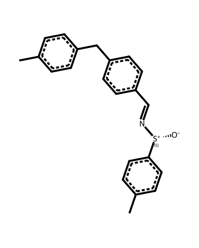 Cc1ccc(Cc2ccc(C=N[S@+]([O-])c3ccc(C)cc3)cc2)cc1